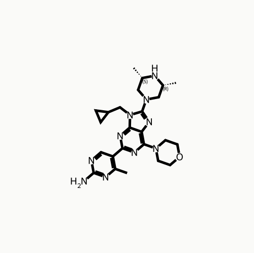 Cc1nc(N)ncc1-c1nc(N2CCOCC2)c2nc(N3C[C@@H](C)N[C@@H](C)C3)n(CC3CC3)c2n1